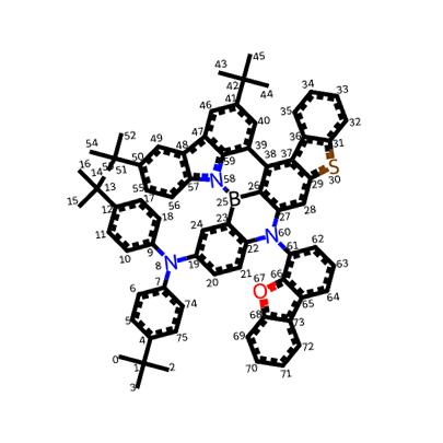 CC(C)(C)c1ccc(N(c2ccc(C(C)(C)C)cc2)c2ccc3c(c2)B2c4c(cc5sc6ccccc6c5c4-c4cc(C(C)(C)C)cc5c6cc(C(C)(C)C)ccc6n2c45)N3c2cccc3c2oc2ccccc23)cc1